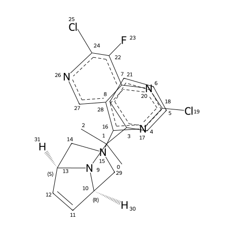 CC(C)(c1ccccc1)N1[C@@H]2C=C[C@H]1CN(c1nc(Cl)nc3c(F)c(Cl)ncc13)C2